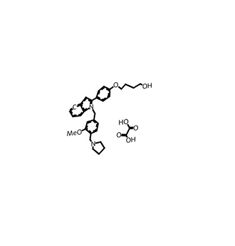 COc1cc(Cn2c(-c3ccc(OCCCCO)cc3)cc3ccccc32)ccc1CN1CCCC1.O=C(O)C(=O)O